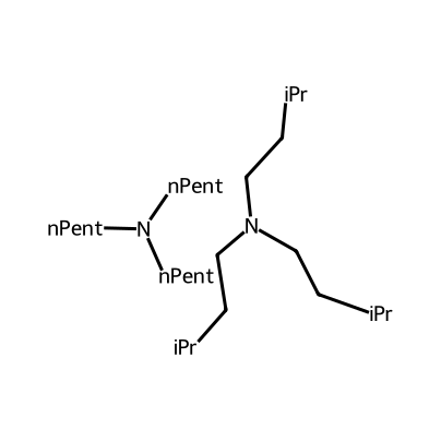 CC(C)CCN(CCC(C)C)CCC(C)C.CCCCCN(CCCCC)CCCCC